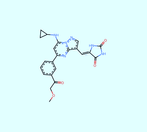 COCC(=O)c1cccc(-c2cc(NC3CC3)n3ncc(/C=C4\NC(=O)NC4=O)c3n2)c1